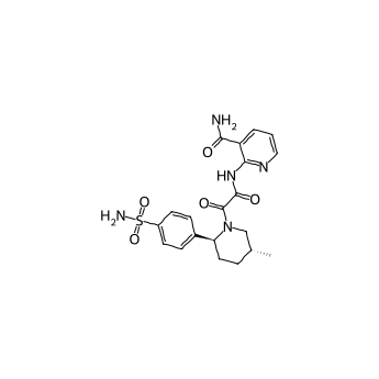 C[C@@H]1CC[C@@H](c2ccc(S(N)(=O)=O)cc2)N(C(=O)C(=O)Nc2ncccc2C(N)=O)C1